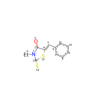 CCN1C(=O)/C(=C/c2ccccc2)SC1=S